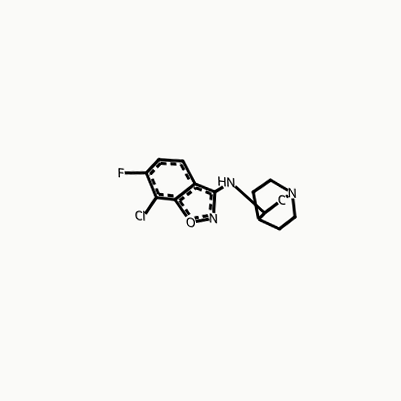 Fc1ccc2c(NC3CN4CCC3CC4)noc2c1Cl